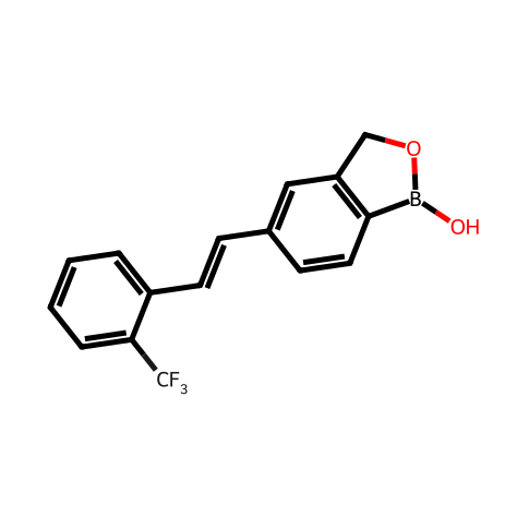 OB1OCc2cc(/C=C/c3ccccc3C(F)(F)F)ccc21